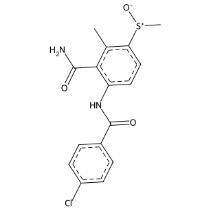 Cc1c([S+](C)[O-])ccc(NC(=O)c2ccc(Cl)cc2)c1C(N)=O